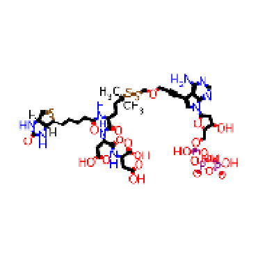 CC(C)(CCC(NC(=O)CCCC[C@@H]1SC[C@@H]2NC(=O)N[C@@H]21)C(=O)NC(CC(=O)O)C(=O)NC(CC(=O)O)C(=O)O)SSCOCC#Cc1cn(C2CC(O)C(COP(=O)(O)OP(=O)(O)OP(=O)(O)O)O2)c2ncnc(N)c12